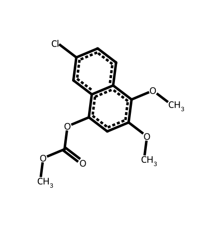 COC(=O)Oc1cc(OC)c(OC)c2ccc(Cl)cc12